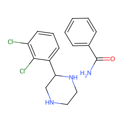 Clc1cccc(C2CNCCN2)c1Cl.NC(=O)c1ccccc1